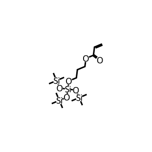 C=CC(=O)OCCCO[Si](O[Si](C)(C)C)(O[Si](C)(C)C)O[Si](C)(C)C